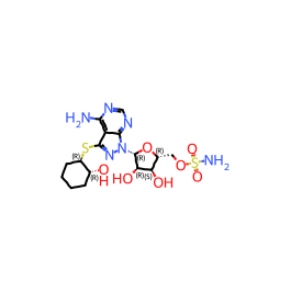 Nc1ncnc2c1c(S[C@@H]1CCCC[C@H]1O)nn2[C@@H]1O[C@H](COS(N)(=O)=O)[C@@H](O)[C@H]1O